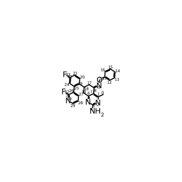 Cc1nc(N)nc2c1C(=NOc1ccccc1)CC(c1ccc(F)cc1-c1cccnc1F)C2